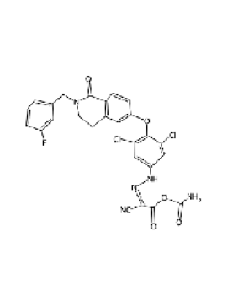 N#CC(=NNc1cc(Cl)c(Oc2ccc3c(c2)CCN(Cc2cccc(F)c2)C3=O)c(Cl)c1)C(=O)OC(N)=O